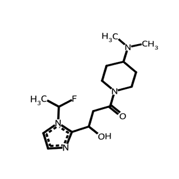 CC(F)n1ccnc1C(O)CC(=O)N1CCC(N(C)C)CC1